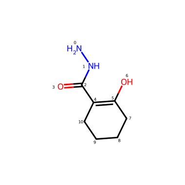 NNC(=O)C1=C(O)CCCC1